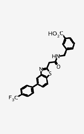 O=C(Cc1nc2cc(-c3ccc(C(F)(F)F)cc3)ccc2s1)NCc1cccc(C(=O)O)c1